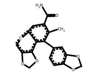 Cc1c(C(N)=O)cc2ccc3c(c2c1-c1ccc2c(c1)OCO2)OCO3